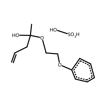 C=CCC(C)(O)OCCOc1ccccc1.O=S(=O)(O)O